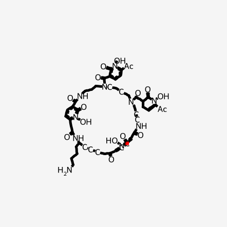 CC(=O)C1=CCC(C(=O)N2CCCCN(C(=O)c3ccc(C(C)=O)n(O)c3=O)CCCNC(=O)c3ccc(n(O)c3=O)C(=O)NC(CCCCN)CCCCC(=O)c3ccc(c(=O)n3O)C(=O)NCCC2)C(=O)N1O